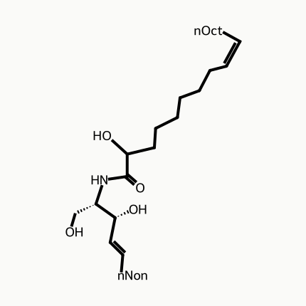 CCCCCCCC/C=C\CCCCCCC(O)C(=O)N[C@@H](CO)[C@H](O)/C=C/CCCCCCCCC